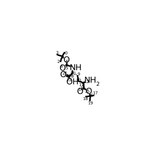 CC(C)(C)OC(=O)N[C@H](CCC(N)C(=O)OC(C)(C)C)C(=O)O